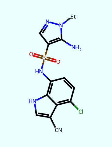 CCn1ncc(S(=O)(=O)Nc2ccc(Cl)c3c(C#N)c[nH]c23)c1N